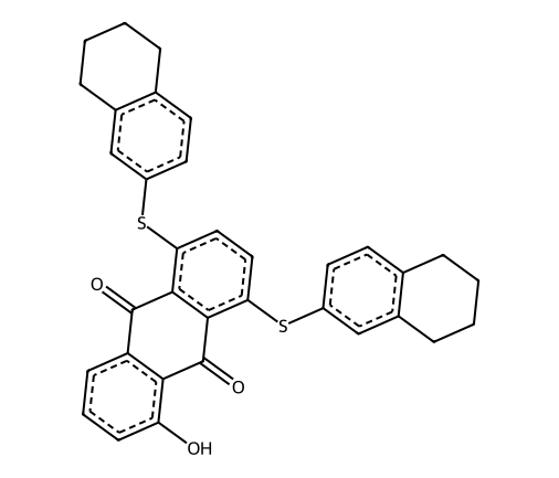 O=C1c2cccc(O)c2C(=O)c2c(Sc3ccc4c(c3)CCCC4)ccc(Sc3ccc4c(c3)CCCC4)c21